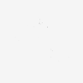 O=C1c2ccccc2C(=O)N1c1ccc(-c2c([N+](=O)[O-])oc3ccccc23)cc1